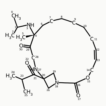 CC(C)N[C@]1(C)CCCCCCC=CCOC(=O)N2CC(C(=O)C(C)C)(C2)NCC1=O